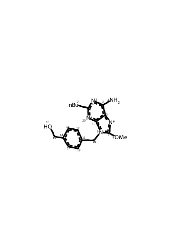 CCCCc1nc(N)c2nc(OC)n(Cc3ccc(CO)cc3)c2n1